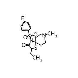 CCC1SC2(CCN(C)CC2)N(S(=O)(=O)c2ccc(F)cc2)C1=O